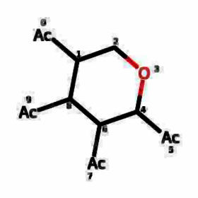 CC(=O)C1COC(C(C)=O)C(C(C)=O)C1C(C)=O